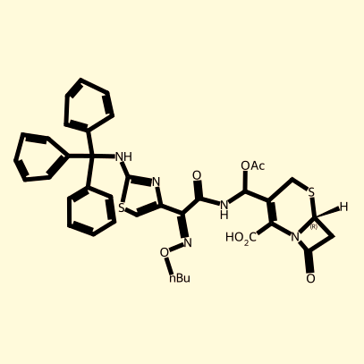 CCCCON=C(C(=O)NC(OC(C)=O)C1=C(C(=O)O)N2C(=O)C[C@H]2SC1)c1csc(NC(c2ccccc2)(c2ccccc2)c2ccccc2)n1